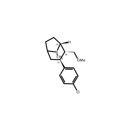 COC[C@@H]1[C@@H](c2ccc(Cl)cc2)CC2CC[C@H]1N2C